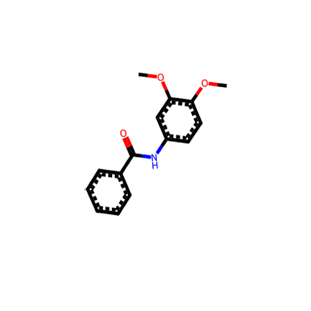 COc1ccc(NC(=O)c2c[c]ccc2)cc1OC